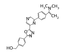 C=C(c1ccc(-c2cncc(-c3nnc(-c4ccc(CO)cc4)o3)n2)cc1)N(C)C